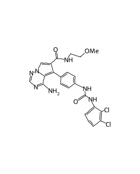 COCCNC(=O)c1cn2ncnc(N)c2c1-c1ccc(NC(=O)Nc2cccc(Cl)c2Cl)cc1